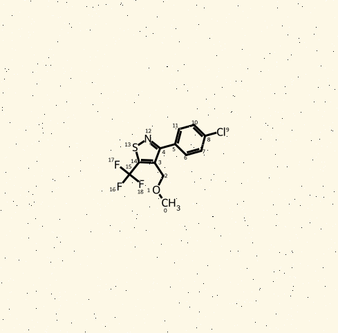 COCc1c(-c2ccc(Cl)cc2)nsc1C(F)(F)F